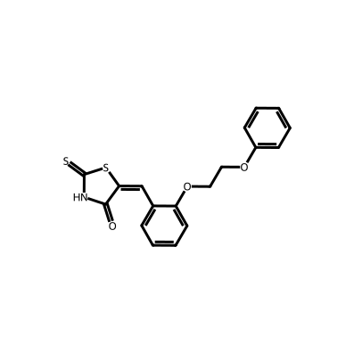 O=C1NC(=S)SC1=Cc1ccccc1OCCOc1ccccc1